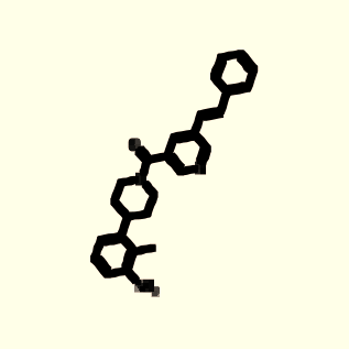 Cc1c(N)cccc1C1CCN(C(=O)c2cncc(C=Cc3ccccc3)c2)CC1